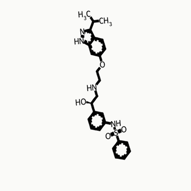 CC(C)c1n[nH]c2cc(OCCNC[C@H](O)c3cccc(NS(=O)(=O)c4ccccc4)c3)ccc12